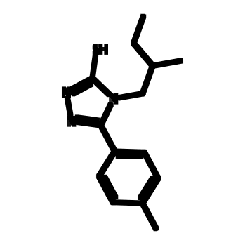 CCC(C)Cn1c(S)nnc1-c1ccc(C)cc1